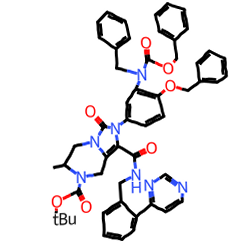 CC1Cn2c(c(C(=O)NCc3ccccc3-c3ccncn3)n(-c3ccc(OCc4ccccc4)c(N(Cc4ccccc4)C(=O)OCc4ccccc4)c3)c2=O)CN1C(=O)OC(C)(C)C